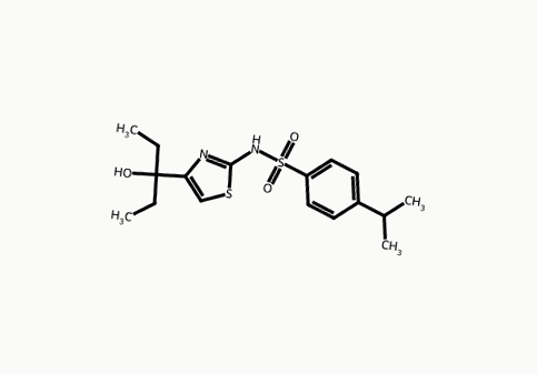 CCC(O)(CC)c1csc(NS(=O)(=O)c2ccc(C(C)C)cc2)n1